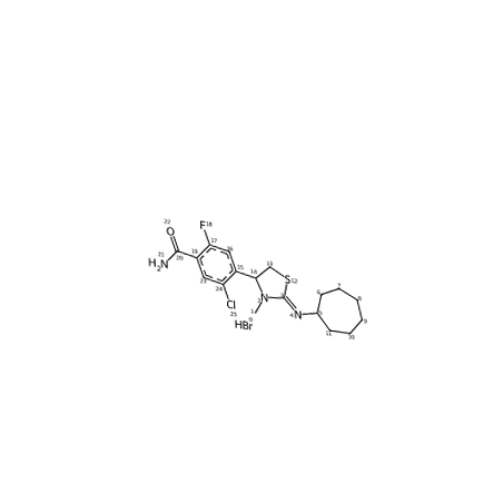 Br.CN1C(=NC2CCCCCC2)SCC1c1cc(F)c(C(N)=O)cc1Cl